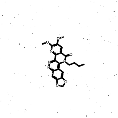 CCCCn1c(=O)c2cc(OC)c(OC)nc2c2nnc3cc4c(cc3c21)OCO4